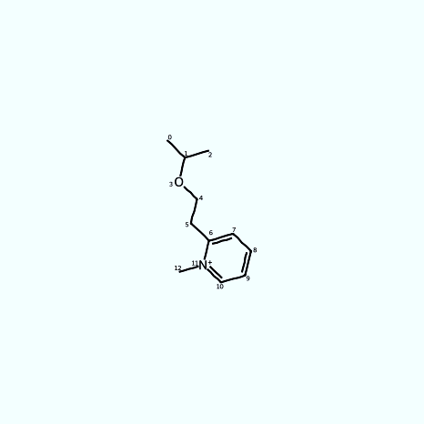 CC(C)OCCc1cccc[n+]1C